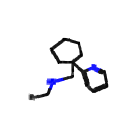 CC(C)CNCC1(c2ccccn2)CCCCC1